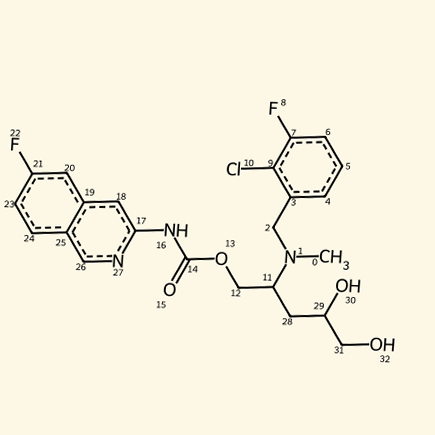 CN(Cc1cccc(F)c1Cl)C(COC(=O)Nc1cc2cc(F)ccc2cn1)CC(O)CO